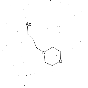 CC(=O)CCCN1CCOCC1